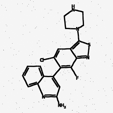 Nc1cc(-c2c(Cl)cc3c(N4CCNCC4)snc3c2F)c2ccccc2n1